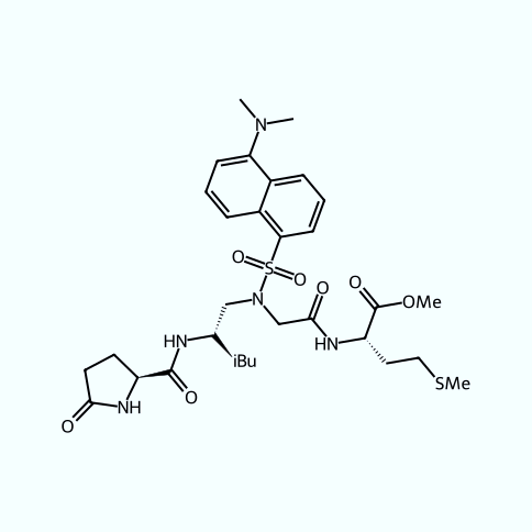 CC[C@H](C)[C@@H](CN(CC(=O)N[C@@H](CCSC)C(=O)OC)S(=O)(=O)c1cccc2c(N(C)C)cccc12)NC(=O)[C@@H]1CCC(=O)N1